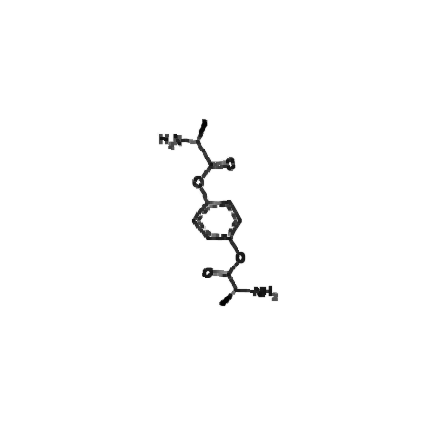 C[C@H](N)C(=O)Oc1ccc(OC(=O)[C@H](C)N)cc1